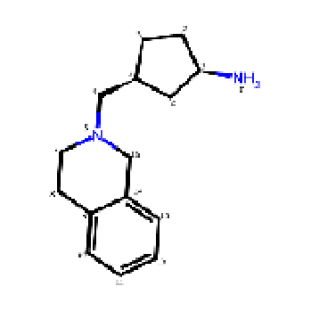 N[C@@H]1CC[C@H](CN2CCc3ccccc3C2)C1